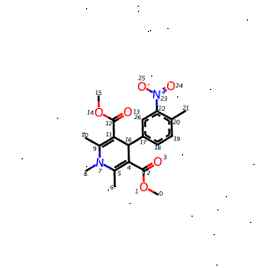 COC(=O)C1=C(C)N(C)C(C)=C(C(=O)OC)C1c1ccc(C)c([N+](=O)[O-])c1